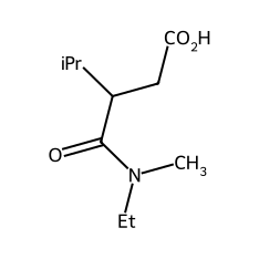 CCN(C)C(=O)C(CC(=O)O)C(C)C